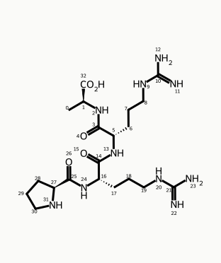 C[C@H](NC(=O)[C@H](CCCNC(=N)N)NC(=O)[C@H](CCCNC(=N)N)NC(=O)[C@@H]1CCCN1)C(=O)O